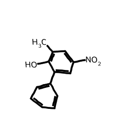 Cc1cc([N+](=O)[O-])cc(-c2ccccc2)c1O